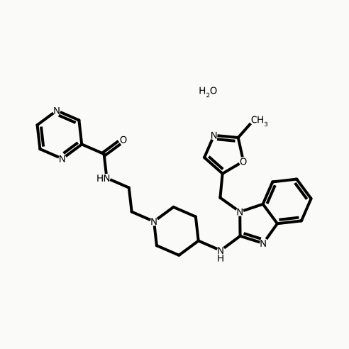 Cc1ncc(Cn2c(NC3CCN(CCNC(=O)c4cnccn4)CC3)nc3ccccc32)o1.O